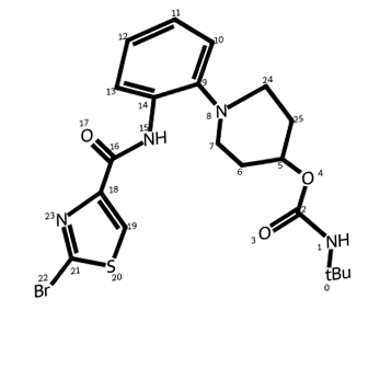 CC(C)(C)NC(=O)OC1CCN(c2ccccc2NC(=O)c2csc(Br)n2)CC1